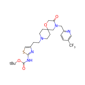 CC(C)(C)OC(=O)Nc1nc(CCN2CCC3(CC2)CN(Cc2ccc(C(F)(F)F)cn2)C(=O)CO3)cs1